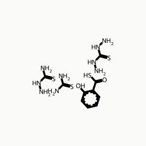 NC(N)=S.NNC(=S)NN.NNC(N)=S.O=C(S)c1ccccc1O